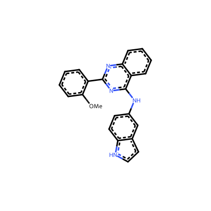 COc1ccccc1-c1nc(Nc2ccc3[nH]ccc3c2)c2ccccc2n1